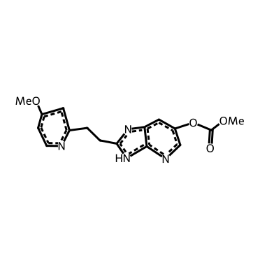 COC(=O)Oc1cnc2[nH]c(CCc3cc(OC)ccn3)nc2c1